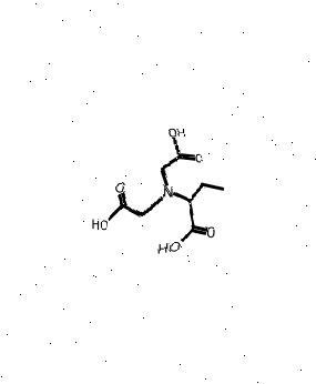 CCC(C(=O)O)N(CC(=O)O)CC(=O)O